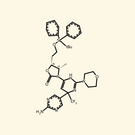 C[C@H]1[C@@H](CCO[Si](c2ccccc2)(c2ccccc2)C(C)(C)C)OC(=O)N1C1=CC(c2cnc(N)nc2)(C(F)(F)F)N=C(N2CCOCC2)N1